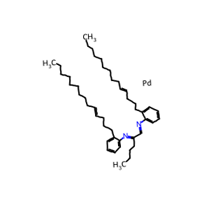 CCCCCCCCCC=CCCCc1ccccc1N=CC(CCCC)=Nc1ccccc1CCCC=CCCCCCCCCC.[Pd]